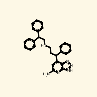 Nc1cc(C(CCNCC(c2ccccc2)c2ccccc2)c2ccccc2)c2nn[nH]c2n1